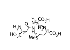 CC(C)[C@H](N)C(=O)O.CSCC[C@H](N)C(=O)O.NC(=O)C[C@H](N)C(=O)O